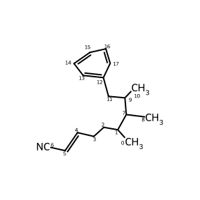 CC(CC/C=C/C#N)C(C)C(C)Cc1ccccc1